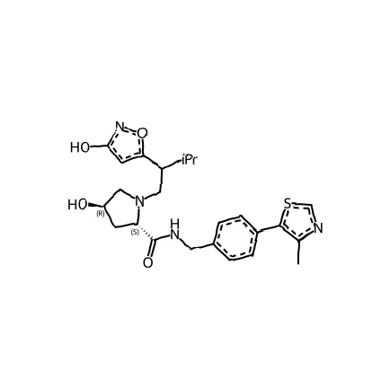 Cc1ncsc1-c1ccc(CNC(=O)[C@@H]2C[C@@H](O)CN2CC(c2cc(O)no2)C(C)C)cc1